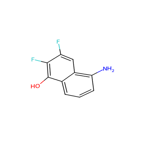 Nc1cccc2c(O)c(F)c(F)cc12